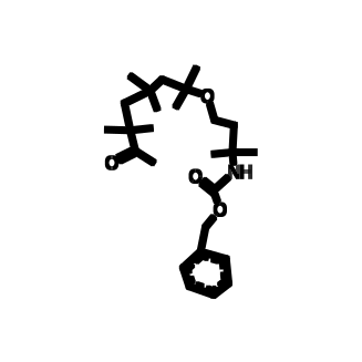 CC(=O)C(C)(C)CC(C)(C)CC(C)(C)OCCC(C)(C)NC(=O)OCc1ccccc1